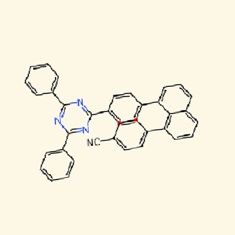 N#Cc1ccc(-c2cccc3cccc(-c4ccc(-c5nc(-c6ccccc6)nc(-c6ccccc6)n5)cc4)c23)cc1